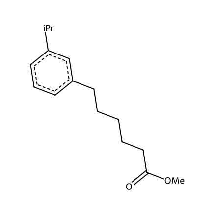 COC(=O)CCCCCc1cccc(C(C)C)c1